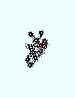 CCC1O[C@@H](OC2[C@H](O[C@@H]3C(OCc4ccccc4)[C@H](O[C@@H]4C(COCc5ccccc5)O[C@@H](OCc5ccccc5)C(C)[C@H]4C)OC(CO[C@H]4OC(CC)[C@@H](C)[C@H](C)C4O[C@@H]4OC(COCc5ccccc5)[C@@H](O[C@@H]5OC(COCc6ccccc6)[C@H](C)[C@H](C)C5OC(C)=O)[C@H](C)C4C)[C@H]3O)OC(CC)[C@H](C)[C@H]2C)C(C)[C@@H](C)C1C